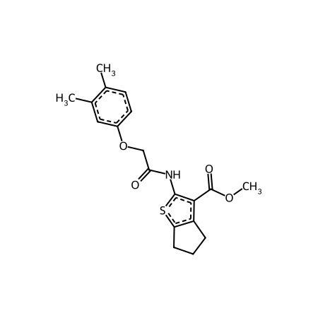 COC(=O)c1c(NC(=O)COc2ccc(C)c(C)c2)sc2c1CCC2